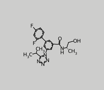 CC(C)c1nnnn1-c1cc(C(=O)N[C@@H](C)CO)cc(-c2ccc(F)cc2F)c1